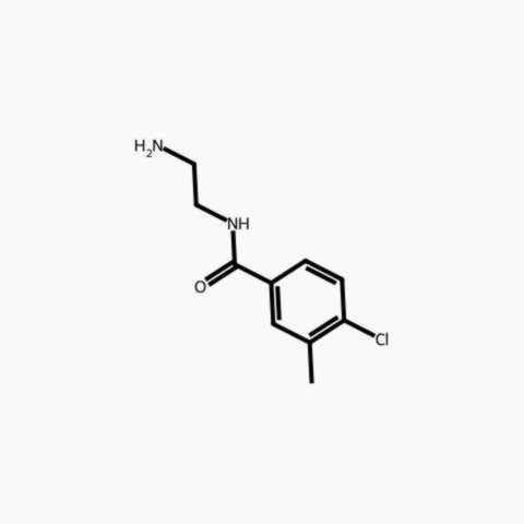 Cc1cc(C(=O)NCCN)ccc1Cl